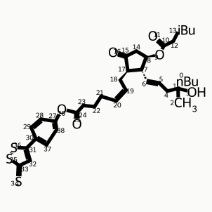 CCCC[C@](C)(O)C/C=C/[C@H]1[C@H](OC(=O)CC(C)CC)CC(=O)[C@@H]1C/C=C\CCCC(=O)Oc1ccc(-c2cc(=S)ss2)cc1